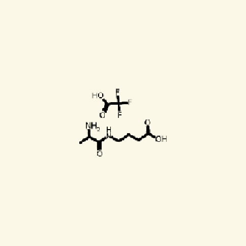 CC(N)C(=O)NCCCC(=O)O.O=C(O)C(F)(F)F